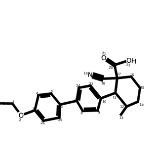 CCOc1ccc(-c2ccc(C3C(C)CCCC3(C#N)C(=O)O)cc2)cc1